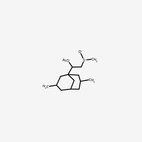 CC(=O)OC(C[S+](C)[O-])C12CC(C)CC(CC(C)C1)C2